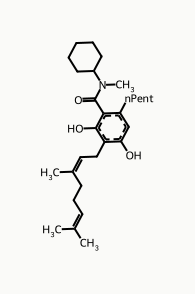 CCCCCc1cc(O)c(CC=C(C)CCC=C(C)C)c(O)c1C(=O)N(C)C1CCCCC1